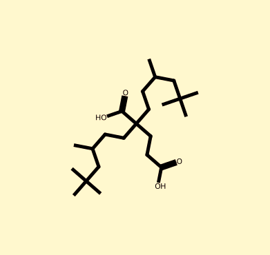 CC(CCC(CCC(=O)O)(CCC(C)CC(C)(C)C)C(=O)O)CC(C)(C)C